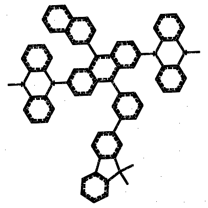 CN1c2ccccc2N(c2ccc3c(-c4ccc5ccccc5c4)c4cc(N5c6ccccc6N(C)c6ccccc65)ccc4c(-c4cccc(-c5ccc6c(c5)C(C)(C)c5ccccc5-6)c4)c3c2)c2ccccc21